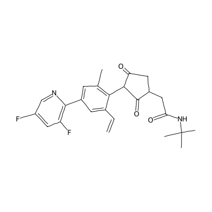 C=Cc1cc(-c2ncc(F)cc2F)cc(C)c1C1C(=O)CC(CC(=O)NC(C)(C)C)C1=O